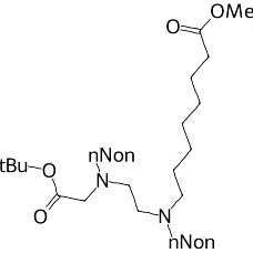 CCCCCCCCCN(CCCCCCCC(=O)OC)CCN(CCCCCCCCC)CC(=O)OC(C)(C)C